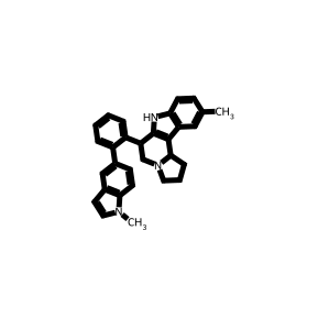 Cc1ccc2[nH]c3c(c2c1)C1CCCN1CC3c1ccccc1-c1ccc2c(ccn2C)c1